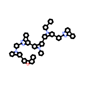 c1ccc(-c2cccc(-n3c4ccc(-c5cccc(-c6nc7c8c(cccc8n6)-c6ccccc6-7)c5)cc4c4cc(-c5ccc6c(c5)c5cc(-c7cc8c9c(nc(-c%10cccc(-n%11c%12ccccc%12c%12cc(-c%13ccc%14oc%15ccc%16ccccc%16c%15c%14c%13)ccc%12%11)c%10)nc9c7)-c7ccccc7-8)ccc5n6-c5ccccc5)ccc43)c2)cc1